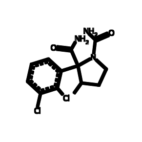 CC1CCN(C(N)=O)C1(C(N)=O)c1cccc(Cl)c1Cl